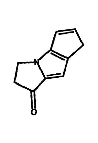 O=C1CCn2c1cc1c2C=CC1